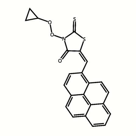 O=C1/C(=C\c2ccc3ccc4cccc5ccc2c3c45)SC(=S)N1OOC1CC1